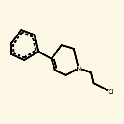 ClCCN1CC=C(c2ccccc2)CC1